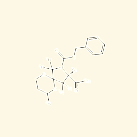 [2H]C1CCOC2(O1)C([2H])([2H])N(C(=O)OCc1ccccc1)[C@]([2H])(C(=O)O)C2([2H])[2H]